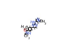 Cc1cc(-c2ccnc(Nc3cnn(C)c3)n2)ccc1C(=O)NCC(F)(F)F